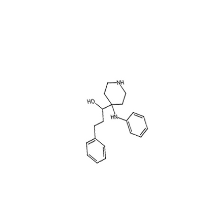 OC(CCc1ccccc1)C1(Nc2ccccc2)CCNCC1